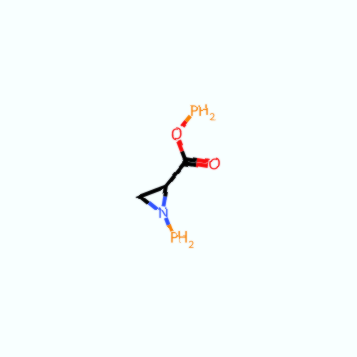 O=C(OP)C1CN1P